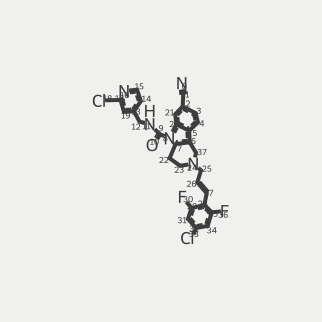 N#Cc1ccc2c3c(n(C(=O)NCc4ccnc(Cl)c4)c2c1)CCN(CC=Cc1c(F)cc(Cl)cc1F)C3